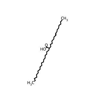 CCCCCCCCC=CCCCCCCC(CCCCCCCCCCCCCCCCCC)C(=O)O